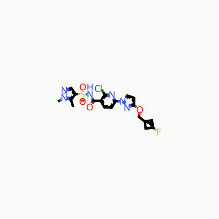 Cc1c(S(=O)(=O)NC(=O)c2ccc(-n3ccc(OCC45CC(F)(C4)C5)n3)nc2Cl)cnn1C